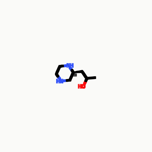 CC(O)C[C@H]1CNCCN1